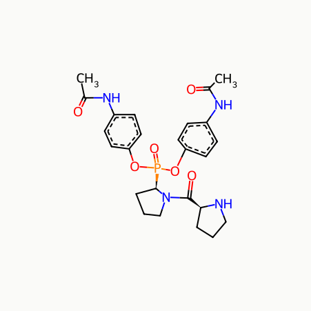 CC(=O)Nc1ccc(OP(=O)(Oc2ccc(NC(C)=O)cc2)[C@@H]2CCCN2C(=O)[C@@H]2CCCN2)cc1